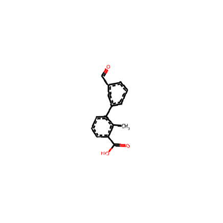 Cc1c(C(=O)O)cccc1-c1cccc(C=O)c1